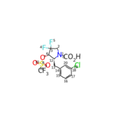 O=C(O)N1CC(F)(F)C(OS(=O)(=O)C(F)(F)F)[C@@H]1Cc1cccc(Cl)c1